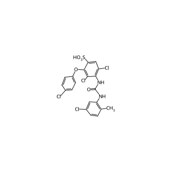 Cc1ccc(Cl)cc1NC(=O)Nc1c(Cl)cc(S(=O)(=O)O)c(Oc2ccc(Cl)cc2)c1Cl